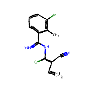 C=CC(C#N)C(Cl)NC(=N)c1cccc(Br)c1C